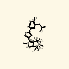 C=C(Cl)Cc1cc(-c2cc(-c3c4c(nn3C)C(F)(F)P(C)(F)(F)C4(F)F)no2)ccc1Cl